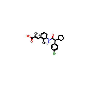 C/C(=C\c1cccc(NC(=O)C(c2ccc(Br)cc2)C2CCCC2)c1C)C(=O)O